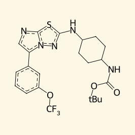 CC(C)(C)OC(=O)NC1CCC(Nc2nn3c(-c4cccc(OC(F)(F)F)c4)cnc3s2)CC1